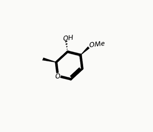 CO[C@H]1C=CO[C@@H](C)[C@@H]1O